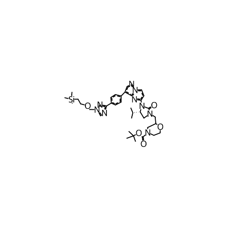 CC(C)[C@H]1CN(CC2CN(C(=O)OC(C)(C)C)CCO2)C(=O)N1c1ccn2ncc(-c3ccc(-c4ncn(COCC[Si](C)(C)C)n4)cc3)c2n1